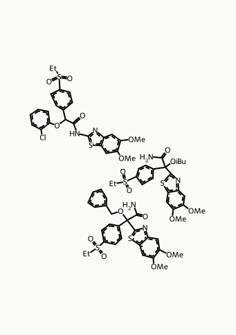 CCS(=O)(=O)c1ccc(C(OCC(C)C)(C(N)=O)c2nc3cc(OC)c(OC)cc3s2)cc1.CCS(=O)(=O)c1ccc(C(OCc2ccccc2)(C(N)=O)c2nc3cc(OC)c(OC)cc3s2)cc1.CCS(=O)(=O)c1ccc(C(Oc2ccccc2Cl)C(=O)Nc2nc3cc(OC)c(OC)cc3s2)cc1